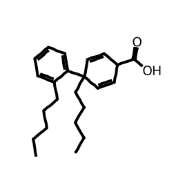 CCCCCc1ccccc1C1(CCCCC)C=CC(C(=O)O)C=C1